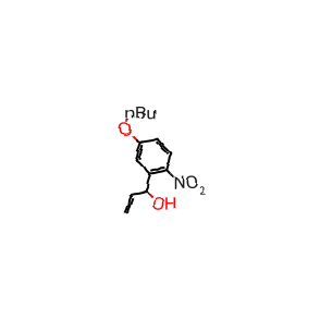 C=CC(O)c1cc(OCCCC)ccc1[N+](=O)[O-]